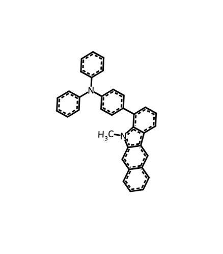 Cn1c2cc3ccccc3cc2c2cccc(-c3ccc(N(c4ccccc4)c4ccccc4)cc3)c21